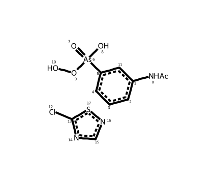 CC(=O)Nc1cccc([As](=O)(O)OO)c1.Clc1ncns1